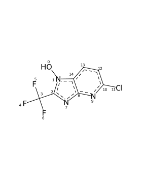 On1c(C(F)(F)F)nc2nc(Cl)ccc21